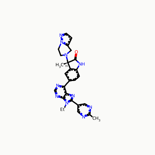 CCn1c(-c2cnc(C)nc2)nc2c(-c3ccc4c(c3)[C@](C)(N3CCn5nccc5C3)C(=O)N4)ncnc21